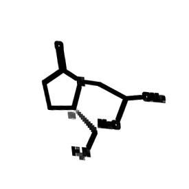 COC(CN1C(=O)CC[C@H]1CN)OC